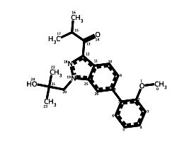 COc1ccccc1-c1ccc2c(C(=O)C(C)C)nn(CC(C)(C)O)c2c1